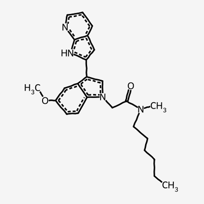 CCCCCCN(C)C(=O)Cn1cc(-c2cc3cccnc3[nH]2)c2cc(OC)ccc21